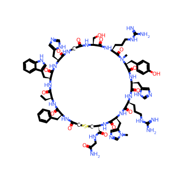 CC[C@@H]1NC(=O)[C@H](Cc2ccccc2)NC(=O)CSC[C@@H](C(=O)NCC(N)=O)NC(=O)[C@H](Cc2cncn2C)NC(=O)[C@H](CCCNC(=N)N)NC(=O)[C@H](Cc2cnc[nH]2)NC(=O)[C@H](Cc2ccc(O)cc2)N(C)C(=O)[C@H](CCCNC(=N)N)NC(=O)[C@H](CO)NC(=O)CNC(=O)[C@H](Cc2cnc[nH]2)NC(=O)[C@H](Cc2c[nH]c3ccccc23)NC1=O